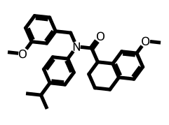 COc1cccc(CN(C(=O)C2CCCc3ccc(OC)cc32)c2ccc(C(C)C)cc2)c1